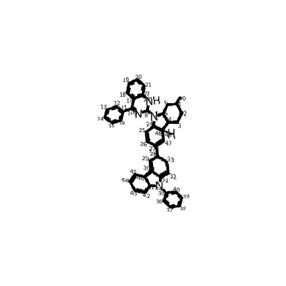 CC1CCC2C(C1)N(C1N=C(c3ccccc3)c3ccccc3N1)C1C=CC(C3C=C4C(=CC3)N(c3ccccc3)C3C=CC=CC43)=C[C@@H]21